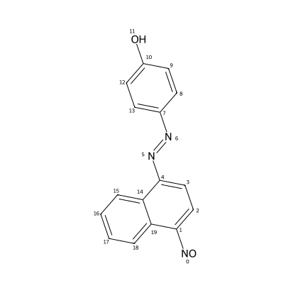 O=Nc1ccc(/N=N/c2ccc(O)cc2)c2ccccc12